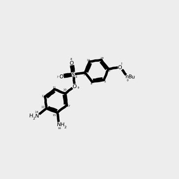 CCCCOc1ccc(S(=O)(=O)Oc2ccc(N)c(N)c2)cc1